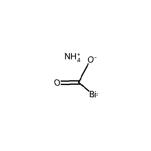 O=[C]([O-])[Bi].[NH4+]